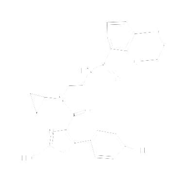 Cc1ccc(-c2sc(C)nc2C(=O)N(CCNC(=O)c2cccc3c2OCCO3)C2CC2)cc1